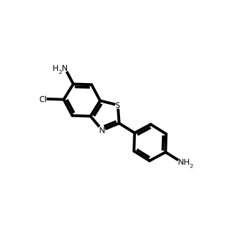 Nc1ccc(-c2nc3cc(Cl)c(N)cc3s2)cc1